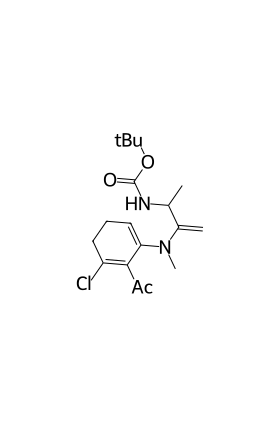 C=C(C(C)NC(=O)OC(C)(C)C)N(C)C1=CCCC(Cl)=C1C(C)=O